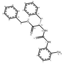 Cc1ccccc1NC(=S)N[C@@H](Cc1ccccc1)C(=O)OCc1ccccc1